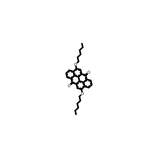 CCCCCCOc1cc2c3c4c1cccc4c(=O)c1cc(OCCCCCC)c4cccc(c2=O)c4c1-3